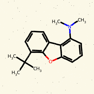 CN(C)c1cccc2oc3c(C(C)(C)C)cccc3c12